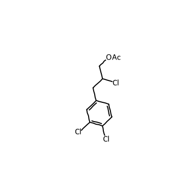 CC(=O)OCC(Cl)Cc1ccc(Cl)c(Cl)c1